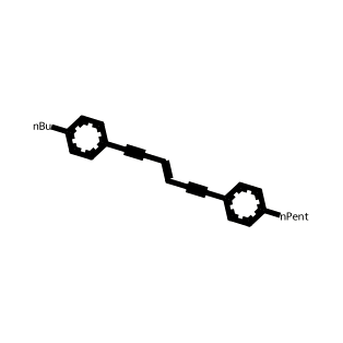 CCCCCc1ccc(C#C/C=C/C#Cc2ccc(CCCC)cc2)cc1